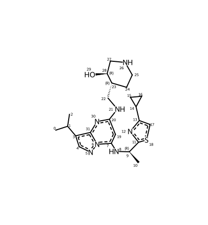 CC(C)c1cnn2c(N[C@H](C)c3nc(C4CC4)cs3)cc(NC[C@H]3CCNC[C@@H]3O)nc12